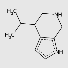 CC(C)C1CNCc2[nH]ccc21